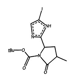 CC1CC(c2ncc(I)[nH]2)N(C(=O)OC(C)(C)C)C1=O